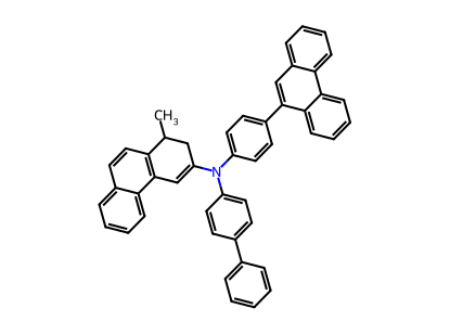 CC1CC(N(c2ccc(-c3ccccc3)cc2)c2ccc(-c3cc4ccccc4c4ccccc34)cc2)=Cc2c1ccc1ccccc21